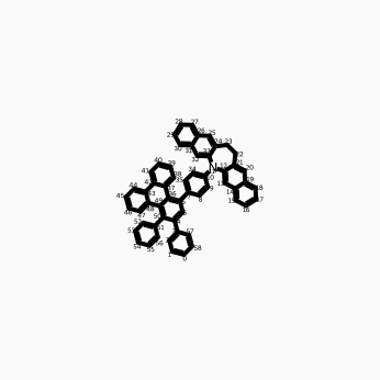 c1ccc(-c2cc(-c3ccc(N4c5cc6ccccc6cc5CCc5cc6ccccc6cc54)cc3)c3c4ccccc4c4ccccc4c3c2-c2ccccc2)cc1